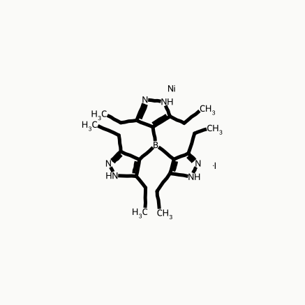 CCc1n[nH]c(CC)c1B(c1c(CC)n[nH]c1CC)c1c(CC)n[nH]c1CC.[I].[Ni]